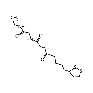 CCNC(=O)CNC(=O)CNC(=O)CCCCC1CCSS1